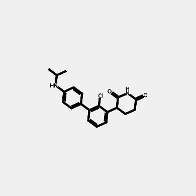 CC(C)Nc1ccc(-c2cccc(C3CCC(=O)NC3=O)c2Cl)cc1